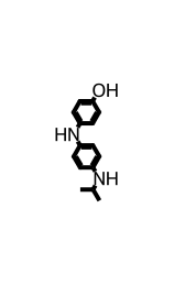 CC(C)Nc1ccc(Nc2ccc(O)cc2)cc1